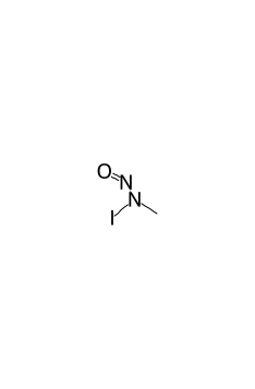 CN(I)N=O